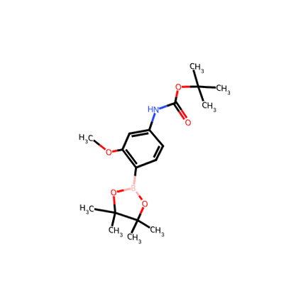 COc1cc(NC(=O)OC(C)(C)C)ccc1B1OC(C)(C)C(C)(C)O1